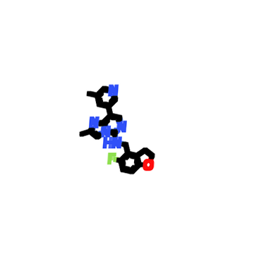 Cc1cncc(-c2cnc(NCc3c(F)ccc4c3CCO4)n3cc(C)nc23)c1